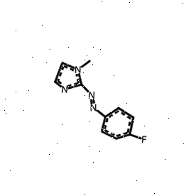 Cn1ccnc1N=Nc1ccc(F)cc1